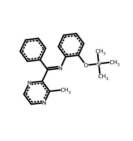 Cc1nccnc1C(=Nc1ccccc1O[Si](C)(C)C)c1ccccc1